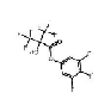 O=C(Oc1cc(F)c(F)c(F)c1)C(O)(C(F)(F)F)C(F)(F)F